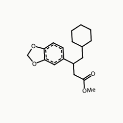 COC(=O)CC(CC1CCCCC1)c1ccc2c(c1)OCO2